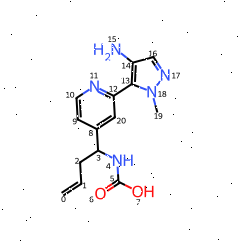 C=CCC(NC(=O)O)c1ccnc(-c2c(N)cnn2C)c1